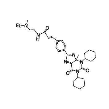 CCN(C)CCNC(=O)/C=C/c1ccc(C2=NC3(C)C(=N2)C(=O)N(C2CCCCC2)C(=O)N3C2CCCCC2)cc1